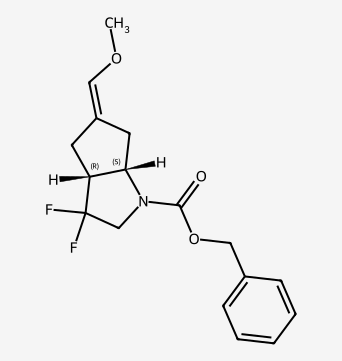 COC=C1C[C@@H]2[C@H](C1)N(C(=O)OCc1ccccc1)CC2(F)F